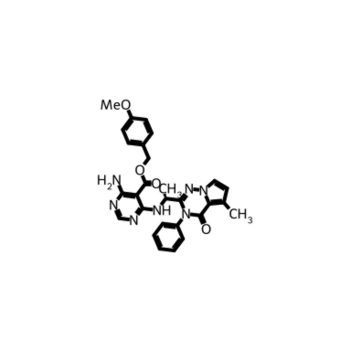 COc1ccc(COC(=O)c2c(N)ncnc2N[C@@H](C)c2nn3ccc(C)c3c(=O)n2-c2ccccc2)cc1